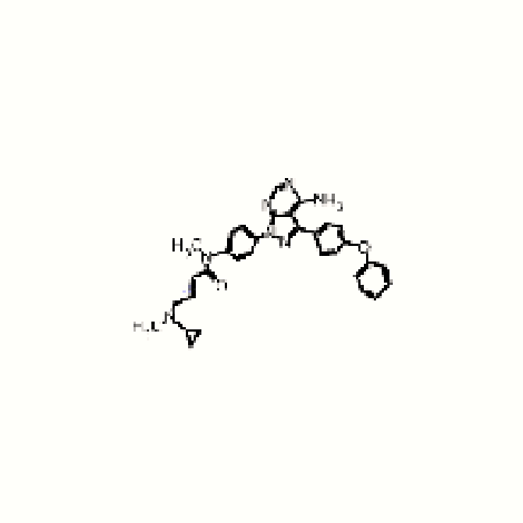 CN(C(=O)/C=C/CN(C)C1CC1)c1ccc(-n2nc(-c3ccc(Oc4ccccc4)cc3)c3c(N)ncnc32)cc1